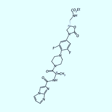 CCOC(=O)NC[C@H]1CN(c2cc(F)c(N3CCN(C(=O)[C@@H](C)NC(=O)c4cn5cccnc5n4)CC3)c(F)c2)C(=O)O1